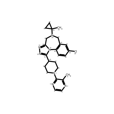 Cc1nccnc1N1CCC(c2nnc3n2-c2ccc(Cl)cc2CN(C2(C)CC2)C3)CC1